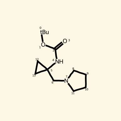 CC(C)(C)OC(=O)NC1(CN2CCCC2)CC1